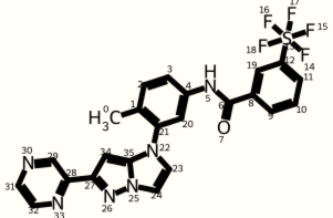 Cc1ccc(NC(=O)c2cccc(S(F)(F)(F)(F)F)c2)cc1-n1ccn2nc(-c3cnccn3)cc12